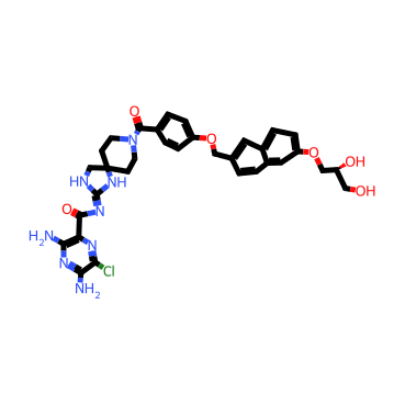 Nc1nc(N)c(C(=O)/N=C2\NCC3(CCN(C(=O)c4ccc(OCc5ccc6cc(OC[C@@H](O)CO)ccc6c5)cc4)CC3)N2)nc1Cl